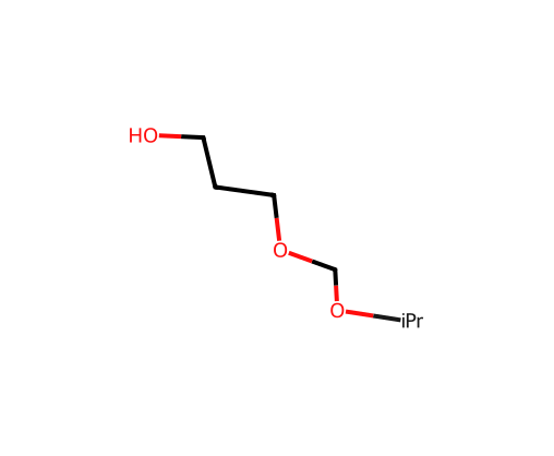 CC(C)OCOCCCO